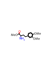 COC(=O)C(N)CCc1ccc(OC)c(OC)c1